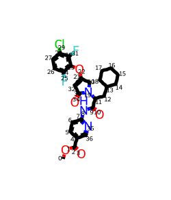 COC(=O)c1ccc(NC(=O)C(CC2CCCCC2)N2CC(Oc3c(F)ccc(Cl)c3F)=CC2=O)nc1